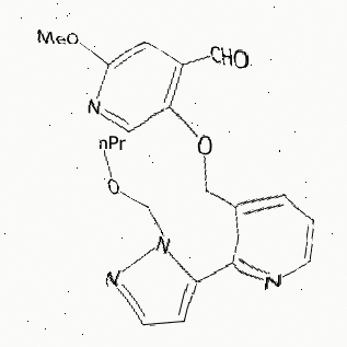 CCCOCn1nccc1-c1ncccc1COc1cnc(OC)cc1C=O